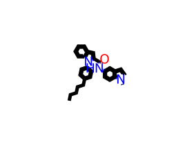 CCCCCc1ccc(-n2c(C(=O)Nc3ccc4c(ccn4C)c3)cc3ccccc32)cc1